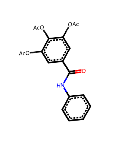 CC(=O)Oc1cc(C(=O)Nc2ccccc2)cc(OC(C)=O)c1OC(C)=O